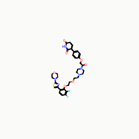 O=C1CCC(c2ccc(OCC(=O)N3CCN(CCOCCOc4c(-c5csc(N6CCOCC6)n5)ccc(F)c4F)CC3)cc2)C(=O)N1